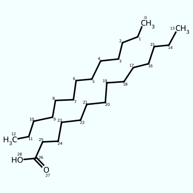 CCCCCCCCCCCCC.CCCCCCCCCCCCCC(=O)O